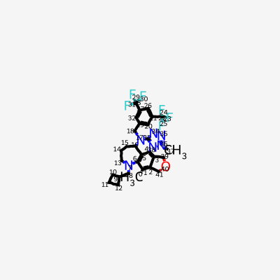 Cc1c2c(cc3c1N(CC1CCC1)CCCC3N(Cc1cc(C(F)(F)F)cc(C(F)(F)F)c1)c1nnn(C)n1)COC2